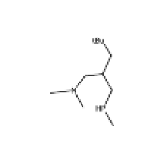 CPCC(CN(C)C)CC(C)(C)C